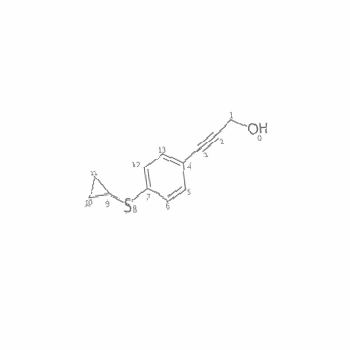 OCC#Cc1ccc(SC2CC2)cc1